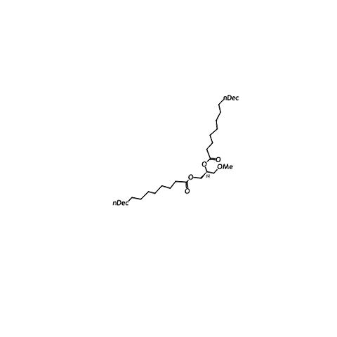 CCCCCCCCCCCCCCCCCC(=O)OC[C@H](COC)OC(=O)CCCCCCCCCCCCCCCCC